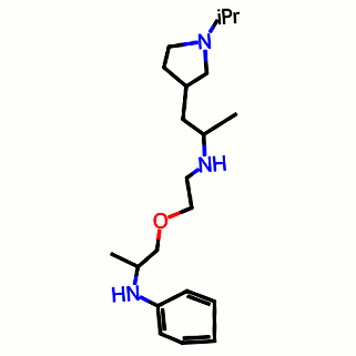 CC(CC1CCN(C(C)C)C1)NCCOCC(C)Nc1ccccc1